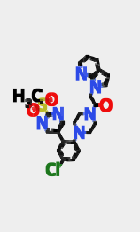 CS(=O)(=O)c1ncc(-c2cc(Cl)ccc2N2CCN(C(=O)Cn3ccc4cccnc43)CC2)cn1